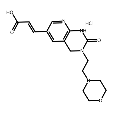 Cl.O=C(O)C=Cc1cnc2c(c1)CN(CCN1CCOCC1)C(=O)N2